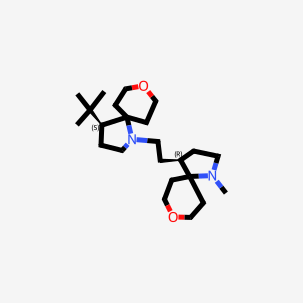 CN1CC[C@H](CCN2CC[C@@H](C(C)(C)C)C23CCOCC3)C12CCOCC2